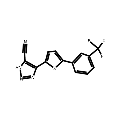 N#Cc1[nH]nnc1-c1ccc(-c2cccc(C(F)(F)F)c2)s1